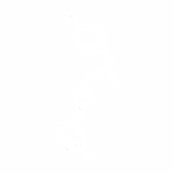 O=C(Oc1ccc([N+](=O)[O-])cc1)OC1CN(c2ccnc(Cl)c2)C1